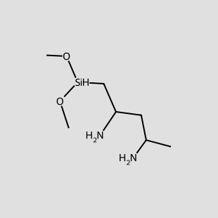 CO[SiH](CC(N)CC(C)N)OC